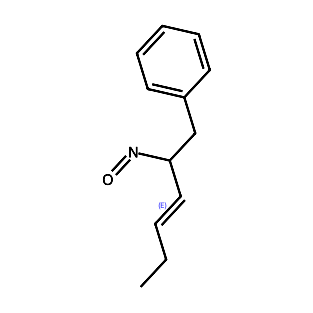 CC/C=C/C(Cc1ccccc1)N=O